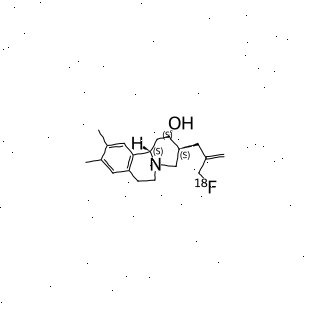 C=C(C[18F])C[C@H]1CN2CCc3cc(C)c(C)cc3[C@@H]2C[C@@H]1O